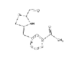 CC(=O)c1cccc(CC2COC(C=O)N2)c1